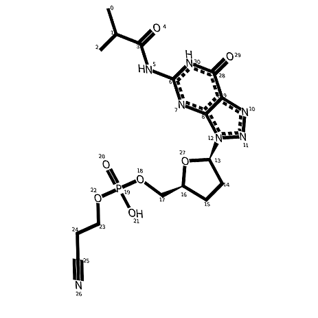 CC(C)C(=O)Nc1nc2c(nnn2[C@H]2CC[C@@H](COP(=O)(O)OCCC#N)O2)c(=O)[nH]1